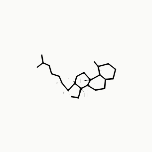 CC(C)CCC[C@@H](C)[C@H]1CC[C@H]2[C@@H]3CCC4CCCC(C)[C@]4(C)[C@H]3CC[C@]12C